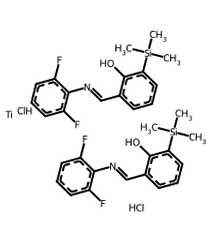 C[Si](C)(C)c1cccc(C=Nc2c(F)cccc2F)c1O.C[Si](C)(C)c1cccc(C=Nc2c(F)cccc2F)c1O.Cl.Cl.[Ti]